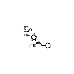 CC(C)(C)OC(=O)Nc1nc(/C([C]=O)=C/CC2CCCC2)cs1